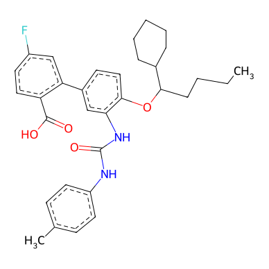 CCCCC(Oc1ccc(-c2cc(F)ccc2C(=O)O)cc1NC(=O)Nc1ccc(C)cc1)C1CCCCC1